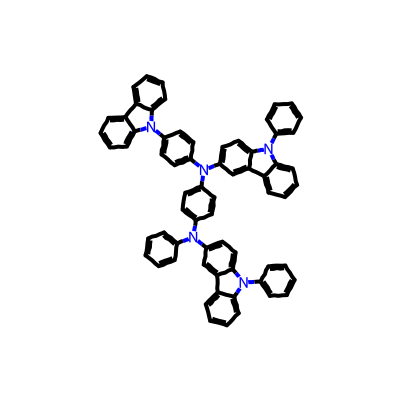 c1ccc(N(c2ccc(N(c3ccc(-n4c5ccccc5c5ccccc54)cc3)c3ccc4c(c3)c3ccccc3n4-c3ccccc3)cc2)c2ccc3c(c2)c2ccccc2n3-c2ccccc2)cc1